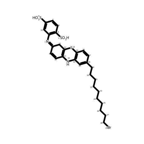 O=S(=O)(O)c1ccc(S(=O)(=O)O)c(N=C2C=CC3=C(C2)Sc2ccc(CCCCCCCCCCBr)cc2N3)c1